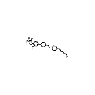 FCCC/C=C/[C@H]1CC[C@H](CCC2CCC(c3ccc(OC(F)(F)F)c(F)c3)CC2)CC1